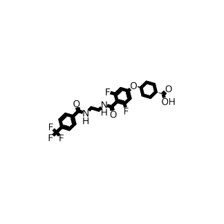 O=C(NCCNC(=O)c1c(F)cc(O[C@H]2CC[C@@H](C(=O)O)CC2)cc1F)c1ccc(C(F)(F)F)cc1